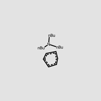 CCCCN(CCCC)CCCC.c1ccccc1